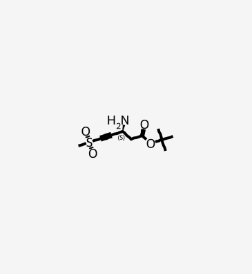 CC(C)(C)OC(=O)C[C@H](N)C#CS(C)(=O)=O